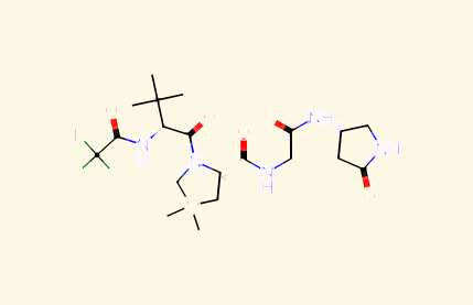 CC(C)(C)[C@H](NC(=O)C(F)(F)F)C(=O)N1C[Si](C)(C)C[C@H]1C(=O)N[C@@H](C[C@@H]1CCNC1=O)C(N)=O